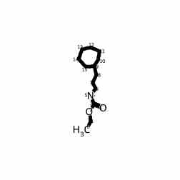 CCOC(=O)[N]CCCC1CCCCCC1